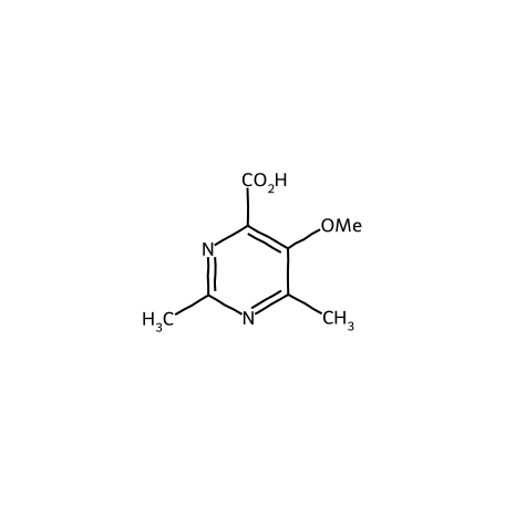 COc1c(C)nc(C)nc1C(=O)O